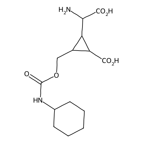 NC(C(=O)O)C1C(COC(=O)NC2CCCCC2)C1C(=O)O